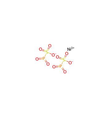 O=P(=O)S(=O)(=O)[O-].O=P(=O)S(=O)(=O)[O-].[Ni+2]